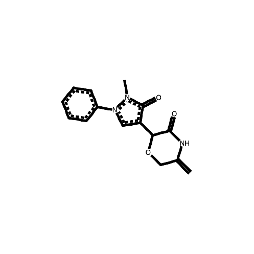 C=C1COC(c2cn(-c3ccccc3)n(C)c2=O)C(=O)N1